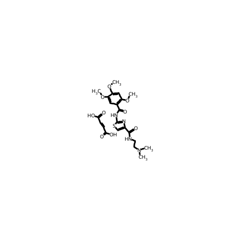 COc1cc(OC)c(C(=O)Nc2nc(C(=O)NCCN(C)C)cs2)cc1OC.O=C(O)C=CC(=O)O